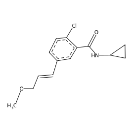 COCC=Cc1ccc(Cl)c(C(=O)NC2CC2)c1